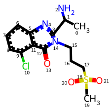 CC(N)c1nc2cccc(Cl)c2c(=O)n1CCCS(C)(=O)=O